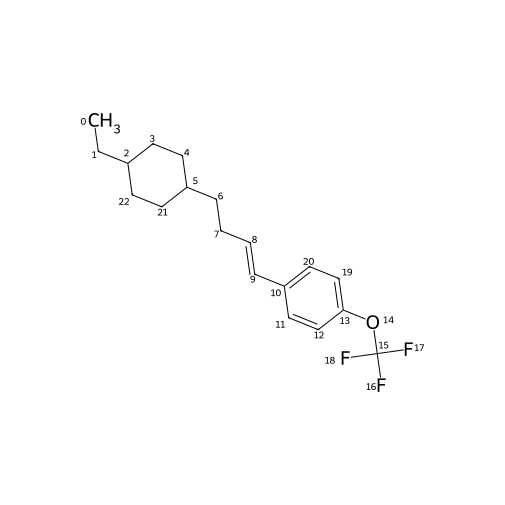 CCC1CCC(CCC=Cc2ccc(OC(F)(F)F)cc2)CC1